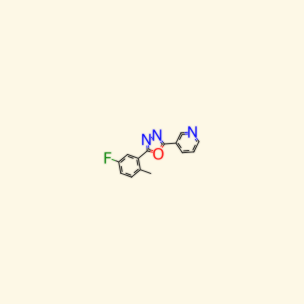 Cc1ccc(F)cc1-c1nnc(-c2cccnc2)o1